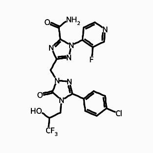 NC(=O)c1nc(Cn2nc(-c3ccc(Cl)cc3)n(CC(O)C(F)(F)F)c2=O)nn1-c1ccncc1F